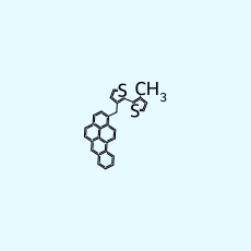 Cc1ccsc1-c1sccc1Cc1ccc2ccc3cc4ccccc4c4ccc1c2c34